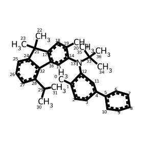 Cc1ccc(-c2ccccc2)cc1N(c1cc2c(cc1C)C(C)(C)c1cccc(C(C)C)c1-2)C(C)(C)C